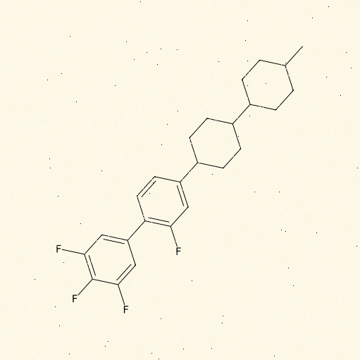 CC1CCC(C2CCC(c3ccc(-c4cc(F)c(F)c(F)c4)c(F)c3)CC2)CC1